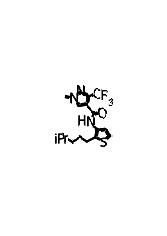 CC(C)CCCc1sccc1NC(=O)c1cn(C)nc1C(F)(F)F